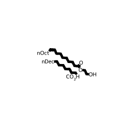 CCCCCCCC/C=C\CCCCCCCC(=O)OCCO.CCCCCCCCCCCCCCCCCC(=O)O